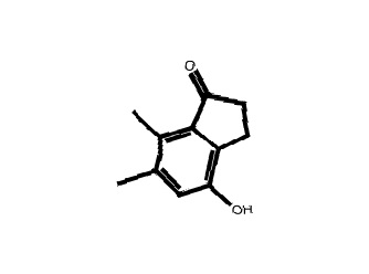 Cc1cc(O)c2c(c1C)C(=O)CC2